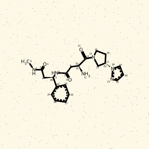 CNC(=O)C[C@@H](NC(=O)C[C@H](N)C(=O)N1CC[C@H](n2cccn2)C1)c1ccccc1